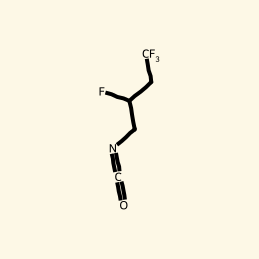 O=C=NCC(F)CC(F)(F)F